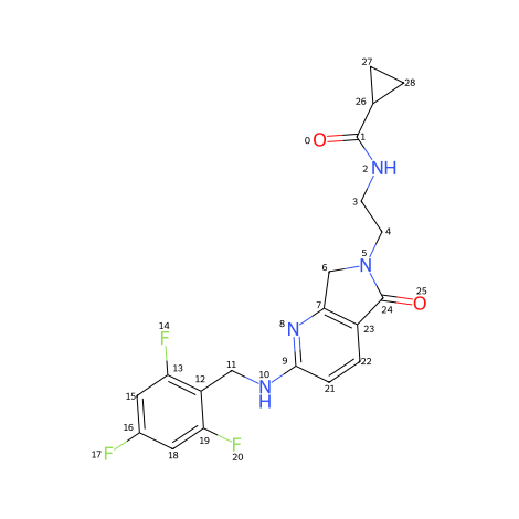 O=C(NCCN1Cc2nc(NCc3c(F)cc(F)cc3F)ccc2C1=O)C1CC1